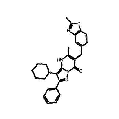 Cc1nc2cc(Cc3c(C)[nH]c4c(N5CCCCC5)c(-c5ccccc5)nn4c3=O)ccc2o1